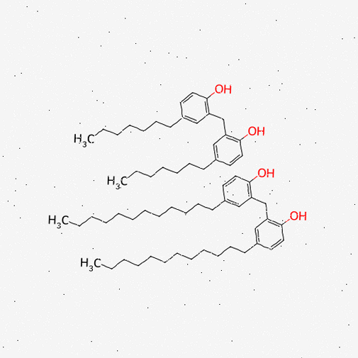 CCCCCCCCCCCCc1ccc(O)c(Cc2cc(CCCCCCCCCCCC)ccc2O)c1.CCCCCCCc1ccc(O)c(Cc2cc(CCCCCCC)ccc2O)c1